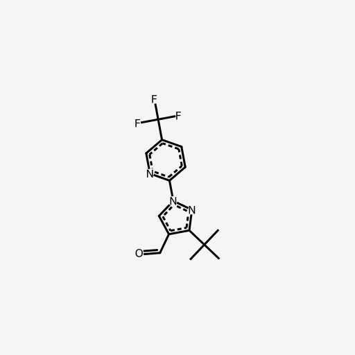 CC(C)(C)c1nn(-c2ccc(C(F)(F)F)cn2)cc1C=O